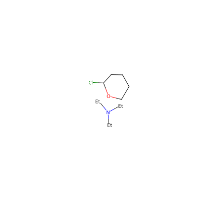 CCN(CC)CC.ClC1CCCCO1